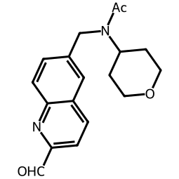 CC(=O)N(Cc1ccc2nc(C=O)ccc2c1)C1CCOCC1